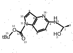 C[C@@H](O)Nc1ccc2c(ccn2C(=O)OC(C)(C)C)n1